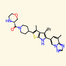 Cc1c(C2CCN(C(=O)[C@@H]3COCCN3)CC2)sc2[nH]c(-c3cc(C)c4ncnn4c3)c(C(C)C)c12